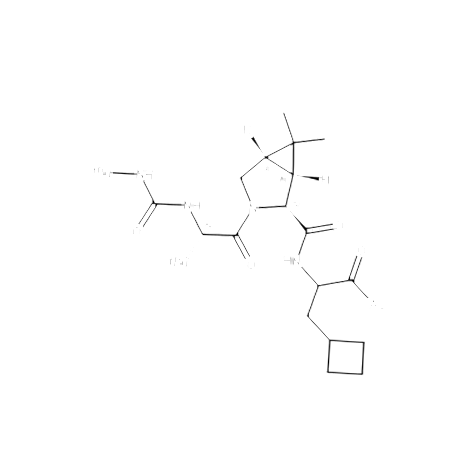 CC(=O)C(=O)C(CC1CCC1)NC(=O)[C@@H]1[C@@H]2[C@H](CN1C(=O)[C@@H](NC(=O)NC(C)(C)C)C(C)(C)C)C2(C)C